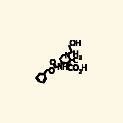 CC1[C@@H](C(=O)O)[C@H](NC(=O)OCc2ccccc2)CCN1CCO